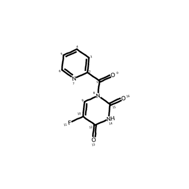 O=C(c1ccccn1)n1cc(F)c(=O)[nH]c1=O